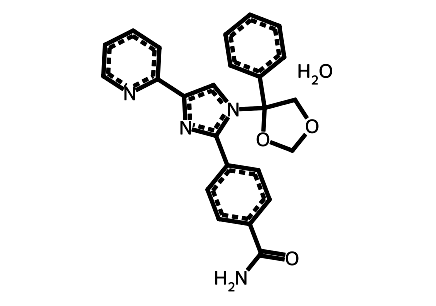 NC(=O)c1ccc(-c2nc(-c3ccccn3)cn2C2(c3ccccc3)COCO2)cc1.O